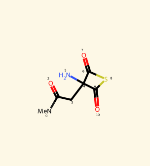 CNC(=O)CC1(N)C(=O)SC1=O